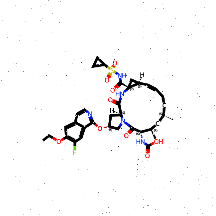 CCOc1cc2ccnc(O[C@@H]3C[C@H]4C(=O)N[C@]5(C(=O)NS(=O)(=O)C6CC6)C[C@H]5C=CCC[C@H](C)C[C@@H](C)[C@H](NC(=O)O)C(=O)N4C3)c2cc1F